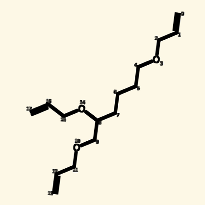 C=CCOCCCCC(COCC=C)OCC=C